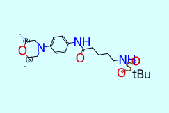 C[C@@H]1CN(c2ccc(NC(=O)CCCCNS(=O)(=O)C(C)(C)C)cc2)C[C@H](C)O1